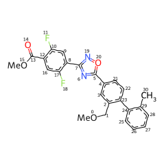 COCc1cc(-c2nc(-c3cc(F)c(C(=O)OC)cc3F)no2)ccc1-c1ccccc1C